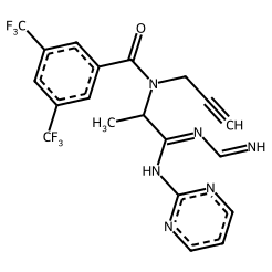 C#CCN(C(=O)c1cc(C(F)(F)F)cc(C(F)(F)F)c1)C(C)/C(=N/C=N)Nc1ncccn1